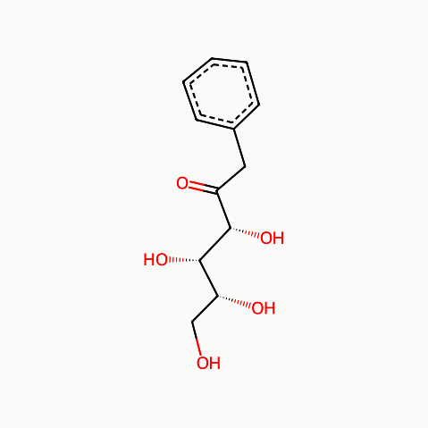 O=C(Cc1ccccc1)[C@H](O)[C@@H](O)[C@H](O)CO